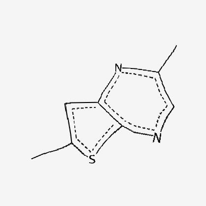 Cc1cnc2sc(C)cc2n1